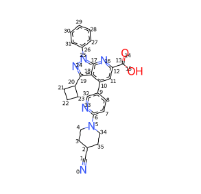 N#CC1CCN(c2ccc(-c3cc(C(=O)O)nc4c3c(C3CCC3)nn4-c3ccccc3)cn2)CC1